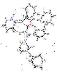 C1=C(N(c2cccc(-c3ccccc3)c2)c2cccc(-c3ccccc3)c2)C2Oc3ccccc3C2c2ncccc21